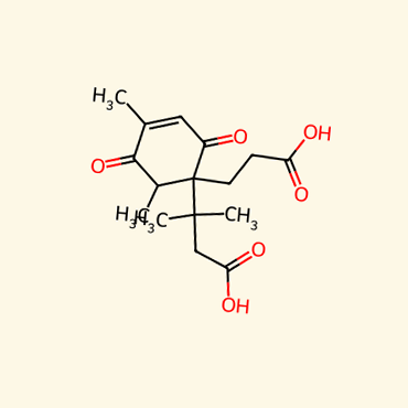 CC1=CC(=O)C(CCC(=O)O)(C(C)(C)CC(=O)O)C(C)C1=O